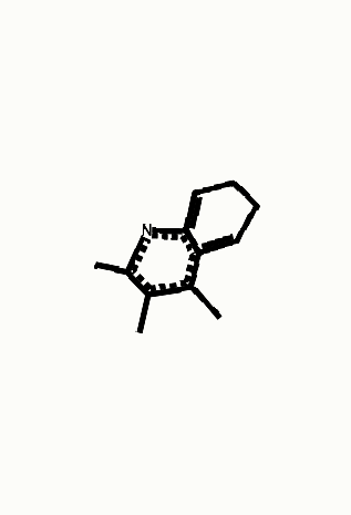 Cc1nc2c(c(C)c1C)=CCCC=2